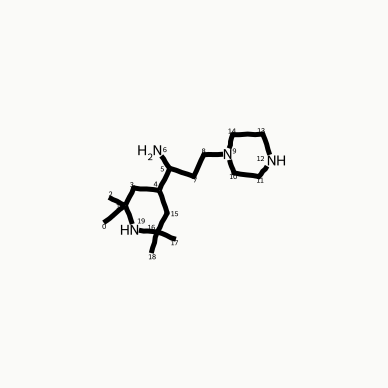 CC1(C)CC(C(N)CCN2CCNCC2)CC(C)(C)N1